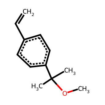 C=Cc1ccc(C(C)(C)OC)cc1